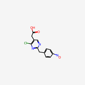 O=Nc1ccc(Cc2ncc(CC(=O)O)c(Cl)n2)cc1